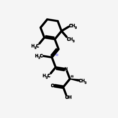 CC(=N[C@@H](C)C(=O)O)/C(C)=C/C1=C(C)CCCC1(C)C